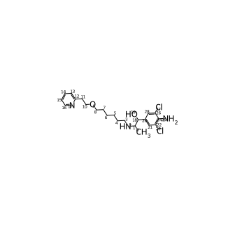 CC(NCCCCCCOCCc1ccccn1)C(O)c1cc(Cl)c(N)c(Cl)c1